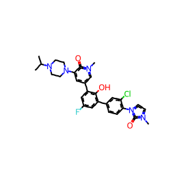 CC(C)N1CCN(c2cc(-c3cc(F)cc(-c4ccc(-n5ccn(C)c5=O)c(Cl)c4)c3O)cn(C)c2=O)CC1